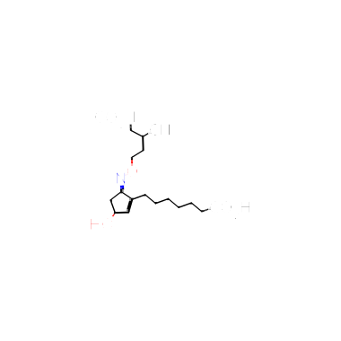 CC(CCON=C1CC(O)C=C1CCCCCCC(=O)O)CC(=O)O